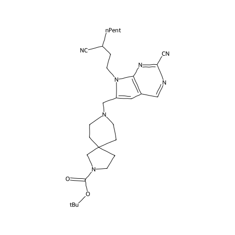 CCCCCC(C#N)CCn1c(CN2CCC3(CC2)CCN(C(=O)OC(C)(C)C)C3)cc2cnc(C#N)nc21